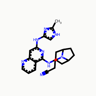 Cc1nc(Nc2cc3ncccc3c(NC3CC4CCC(C3)N4CCC#N)n2)c[nH]1